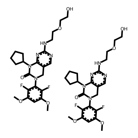 COc1cc(OC)c(F)c(N2Cc3cnc(NCCOCCO)nc3N(C3CCCC3)C2=O)c1F.COc1cc(OC)c(F)c(N2Cc3cnc(NCCOCCO)nc3N(C3CCCC3)C2=O)c1F